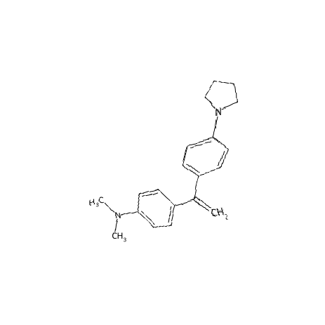 C=C(c1ccc(N(C)C)cc1)c1ccc(N2CCCC2)cc1